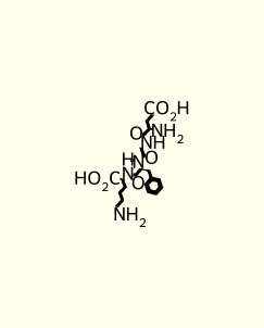 CN(C(=O)CNC(=O)[C@H](N)CCC(=O)O)[C@@H](Cc1ccccc1)C(=O)N[C@@H](CCCCN)C(=O)O